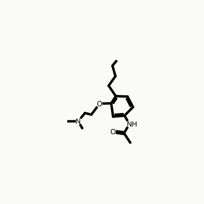 CCCCc1ccc(NC(C)=O)cc1OCCN(C)C